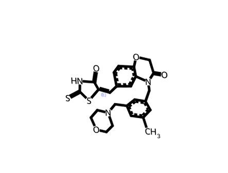 Cc1cc(CN2CCOCC2)cc(CN2C(=O)COc3ccc(/C=C4/SC(=S)NC4=O)cc32)c1